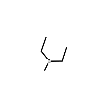 CCB(C)CC